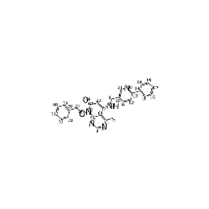 Cc1ncnc2c1c(NCc1ccc(-c3ccccc3)nc1)cc(=O)n2OCc1ccccc1